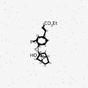 CCOC(=O)/C=C/c1ccc(OC2CC3CCC(C2)N3C(=O)O)c(F)c1